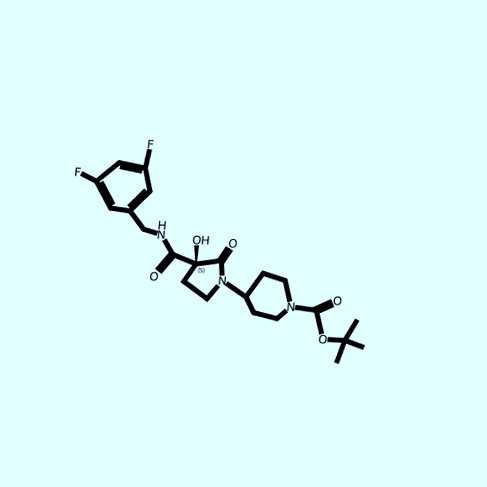 CC(C)(C)OC(=O)N1CCC(N2CC[C@](O)(C(=O)NCc3cc(F)cc(F)c3)C2=O)CC1